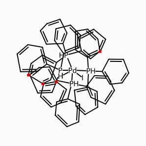 [I][Pd]([I])([PH](c1ccccc1)(c1ccccc1)c1ccccc1)([PH](c1ccccc1)(c1ccccc1)c1ccccc1)([PH](c1ccccc1)(c1ccccc1)c1ccccc1)[PH](c1ccccc1)(c1ccccc1)c1ccccc1